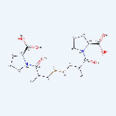 CC(CSSCC(C)C(=O)N1CCC[C@H]1C(=O)O)C(=O)N1CCC[C@H]1C(=O)O